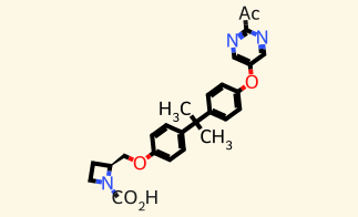 CC(=O)c1ncc(Oc2ccc(C(C)(C)c3ccc(OC[C@@H]4CCN4C(=O)O)cc3)cc2)cn1